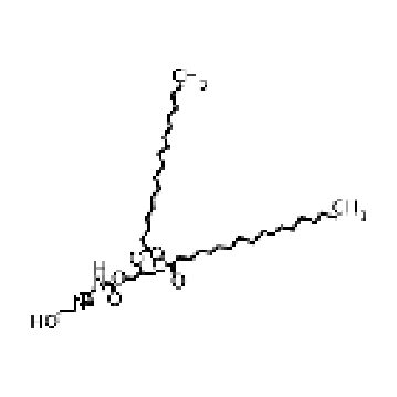 CCCCCCCCCCCCCCCCCC(=O)OCC(COC(=O)NC1CN(CCO)C1)OC(=O)CCCCCCCCCCCCCCCCC